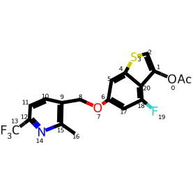 CC(=O)Oc1csc2cc(OCc3ccc(C(F)(F)F)nc3C)cc(F)c12